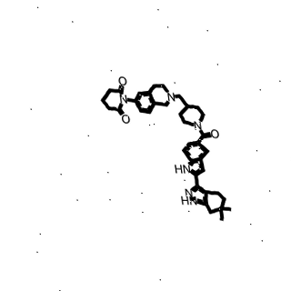 CC1(C)CCc2c(-c3cc4cc(C(=O)N5CCC(CN6CCc7cc(N8C(=O)CCCC8=O)ccc7C6)CC5)ccc4[nH]3)n[nH]c2C1